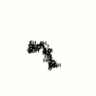 Cc1ccc([C@@](O)(C(=O)O[C@H]2CC[C@H](N(C)CCCn3cnc4cc(CNC[C@H](O)c5ccc(O)c6[nH]c(=O)ccc56)c5c(c43)CCC5)CC2)c2cccs2)s1